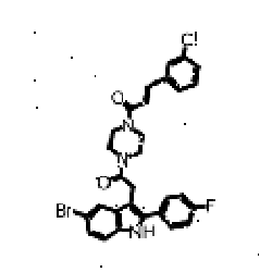 O=C(/C=C/c1cccc(Cl)c1)N1CCN(C(=O)Cc2c(-c3ccc(F)cc3)[nH]c3ccc(Br)cc23)CC1